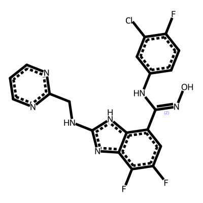 O/N=C(\Nc1ccc(F)c(Cl)c1)c1cc(F)c(F)c2nc(NCc3ncccn3)[nH]c12